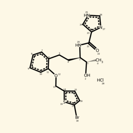 C[C@H](O)[C@@H](CCc1ccccc1OCc1ccc(Br)s1)NC(=O)c1c[nH]cn1.Cl